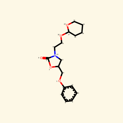 O=C1OC(COc2ccccc2)CN1CCOC1CCCCO1